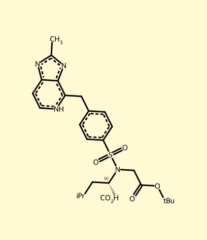 Cc1nc2cc[nH]c(Cc3ccc(S(=O)(=O)N(CC(=O)OC(C)(C)C)[C@@H](CC(C)C)C(=O)O)cc3)c-2n1